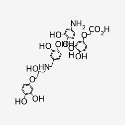 Nc1ccc(O)c(O)c1.O=C(O)COc1ccc(O)c(O)c1.Oc1ccc(CNCC(O)COc2ccc(O)c(O)c2)cc1O